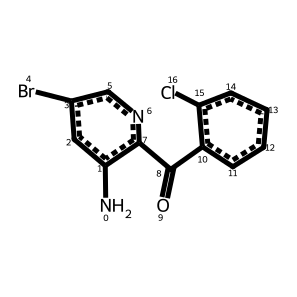 Nc1cc(Br)cnc1C(=O)c1ccccc1Cl